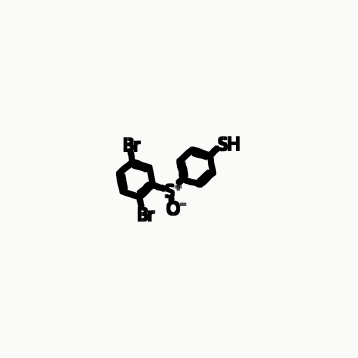 [O-][S+](c1ccc(S)cc1)c1cc(Br)ccc1Br